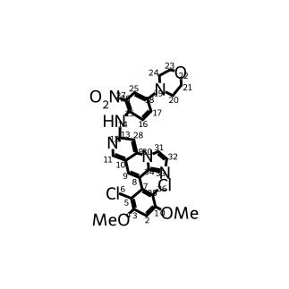 COc1cc(OC)c(Cl)c(-c2cc3cnc(Nc4ccc(N5CCOCC5)cc4[N+](=O)[O-])cc3n3ccnc23)c1Cl